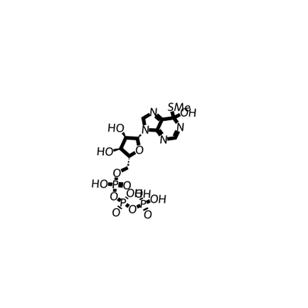 CSC1(O)N=CN=C2C1=NCN2[C@@H]1O[C@H](COP(=O)(O)OP(=O)(O)OP(=O)(O)O)[C@@H](O)[C@H]1O